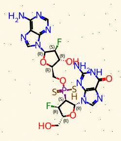 Nc1nc2c(ncn2[C@@H]2O[C@H](CO)[C@@H](F)[C@H]2P(=S)(S)OC[C@H]2O[C@@H](n3cnc4c(N)ncnc43)[C@@H](F)[C@@H]2O)c(=O)[nH]1